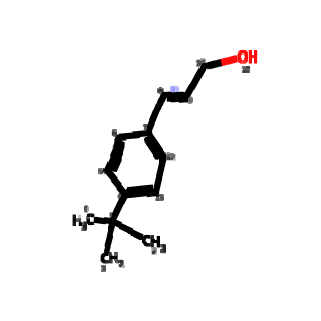 CC(C)(C)c1ccc(/C=C/CO)cc1